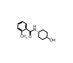 Cc1ccccc1C(=O)N[C@H]1CC[C@H](O)CC1